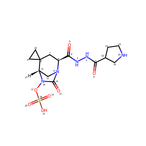 O=C(NNC(=O)[C@@H]1CC2(CC2)[C@@H]2CN1C(=O)N2OS(=O)(=O)O)C1CCNC1